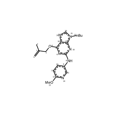 C=C(C)COc1nc(Nc2ccc(OC)nc2)nc2c1ncn2CCCC